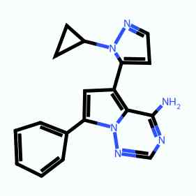 Nc1ncnn2c(-c3ccccc3)cc(-c3ccnn3C3CC3)c12